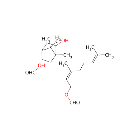 CC(C)=CCCC(C)=CCOC=O.CC1(C)C2CCC1(C)C(O)C2.O=CO